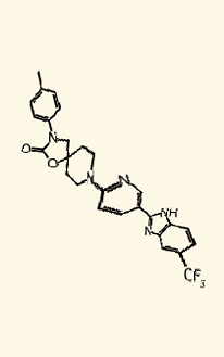 Cc1ccc(N2CC3(CCN(c4ccc(-c5nc6cc(C(F)(F)F)ccc6[nH]5)cn4)CC3)OC2=O)cc1